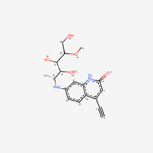 C#Cc1cc(=O)[nH]c2cc(N[C@H](C)C(O)C(O)C(CO)OC)ccc12